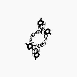 Cc1ccc(N=C(Nc2ccc(C)cc2)N2CCOCCOCCN(C(=Nc3ccc(C)cc3)Nc3ccc(C)cc3)CCOCCOCC2)cc1